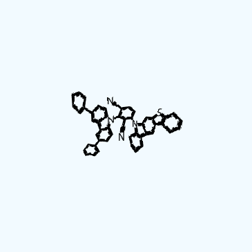 N#Cc1ccc(-n2c3ccccc3c3cc4c(cc32)sc2ccccc24)c(C#N)c1-n1c2ccc(-c3ccccc3)cc2c2cc(-c3ccccc3)ccc21